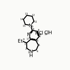 CCC1CNCCc2ccc(N3CCCCC3)nc21.Cl.Cl